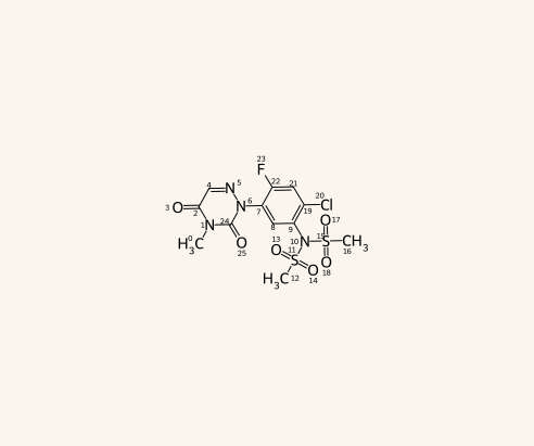 Cn1c(=O)cnn(-c2cc(N(S(C)(=O)=O)S(C)(=O)=O)c(Cl)cc2F)c1=O